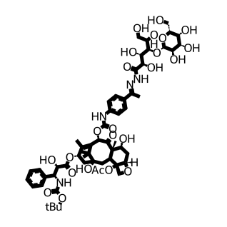 CC(=O)OC12CO[C@@H]1C[C@H](O)[C@@]1(C)C(=O)[C@H](OC(=O)Nc3ccc(/C(C)=N/NC(=O)[C@H](O)[C@H](O)[C@H](O[C@@H]4O[C@H](CO)[C@H](O)[C@H](O)[C@H]4O)C(O)CO)cc3)C3=C(C)[C@@H](OC(=O)[C@H](O)[C@@H](NC(=O)OC(C)(C)C)c4ccccc4)CC(O)(CC21)C3(C)C